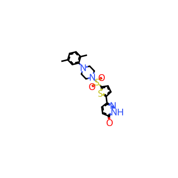 Cc1ccc(C)c(N2CCN(S(=O)(=O)c3ccc(-c4ccc(=O)[nH]n4)s3)CC2)c1